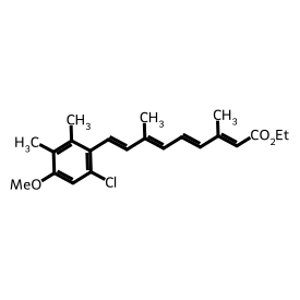 CCOC(=O)/C=C(C)/C=C/C=C(C)/C=C/c1c(Cl)cc(OC)c(C)c1C